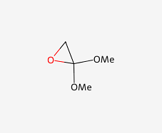 COC1(OC)CO1